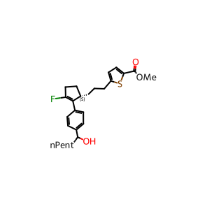 CCCCCC(O)c1ccc(C2=C(F)CC[C@@H]2CCCc2ccc(C(=O)OC)s2)cc1